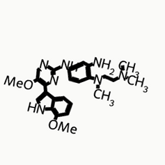 COc1cnc(Nc2ccc(N(C)CCN(C)C)c(N)c2)nc1-c1c[nH]c2c(OC)cccc12